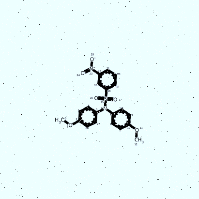 COc1ccc(N(c2ccc(OC)cc2)S(=O)(=O)c2cccc([N+](=O)[O-])c2)cc1